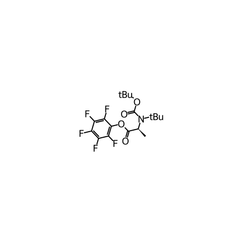 C[C@@H](C(=O)Oc1c(F)c(F)c(F)c(F)c1F)N(C(=O)OC(C)(C)C)C(C)(C)C